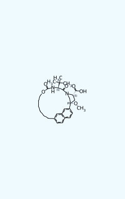 CO[C@@]12C[C@@H](C(=O)O)N(C1)C(=O)[C@H](C(C)(C)C)NC(=O)OCCCCCCc1ccc3ccc2cc3c1